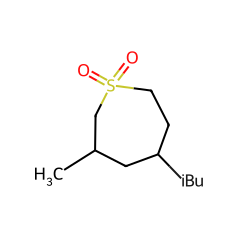 CCC(C)C1CCS(=O)(=O)CC(C)C1